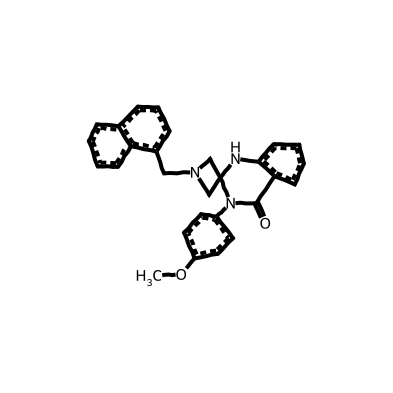 COc1ccc(N2C(=O)c3ccccc3NC23CN(Cc2cccc4ccccc24)C3)cc1